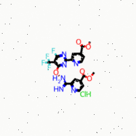 COC(=O)c1ccnc(-c2nc(F)c(C(F)(F)F)c(OC)n2)c1.COC(=O)c1ccnc(C(=N)N)c1.Cl